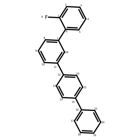 Fc1ccccc1-c1cccc(-c2ccc(-c3ccccc3)cc2)c1